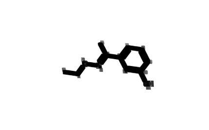 CCON=C(C)c1cccc(O)c1